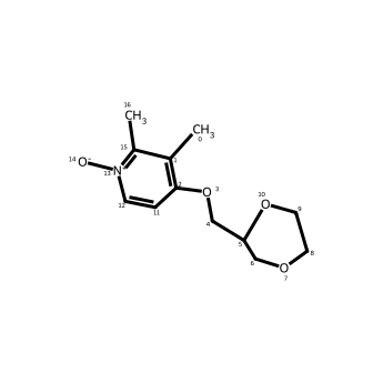 Cc1c(OCC2COCCO2)cc[n+]([O-])c1C